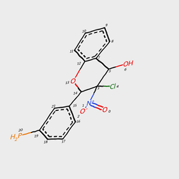 O=[N+]([O-])C1(Cl)C(O)c2ccccc2OC1c1cccc(P)c1